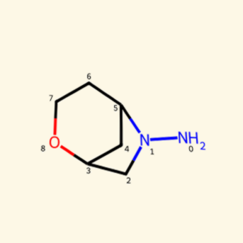 NN1CC2CC1CCO2